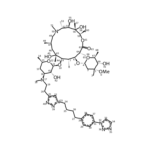 CO[C@]1(C)C[C@H](O[C@H]2[C@H](C)[C@@H](O[C@@H]3O[C@H](C)C[C@H](N(C)CCc4cn(CCCCc5ccc(-n6ccnn6)cc5)nn4)[C@H]3O)[C@](C)(O)C[C@@H](C)CN(C)[C@H](C)[C@@H](O)[C@](C)(O)[C@@H](I)OC(=O)[C@@H]2C)O[C@@H](C)[C@@H]1O